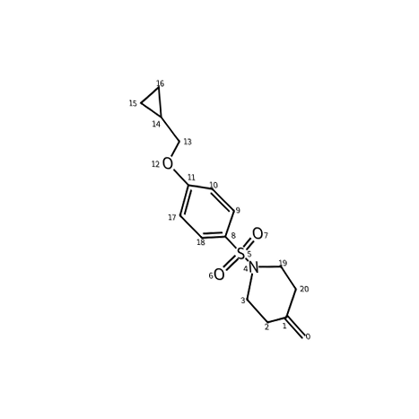 C=C1CCN(S(=O)(=O)c2ccc(OCC3CC3)cc2)CC1